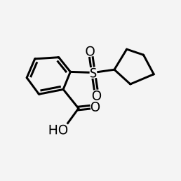 O=C(O)c1ccccc1S(=O)(=O)C1CCCC1